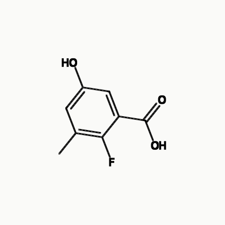 Cc1cc(O)cc(C(=O)O)c1F